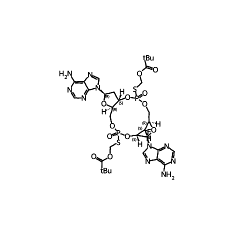 CC(C)(C)C(=O)OCSP1(=O)OC[C@H]2O[C@@H](n3cnc4c(N)ncnc43)C[C@@H]2OP(=O)(SCOC(=O)C(C)(C)C)OC[C@H]2O[C@@H](n3cnc4c(N)ncnc43)[C@H](O1)[C@H]2F